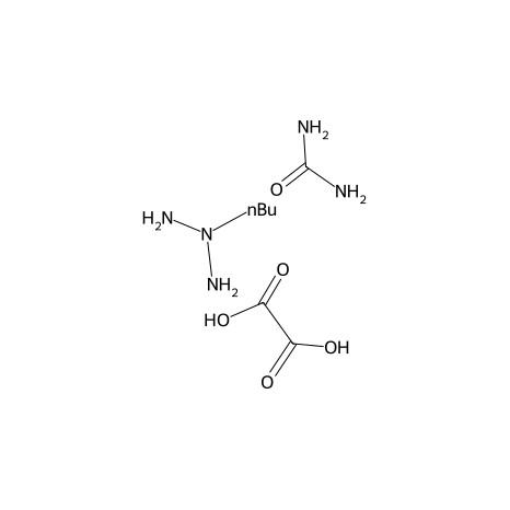 CCCCN(N)N.NC(N)=O.O=C(O)C(=O)O